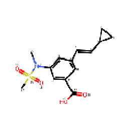 CN(c1cc(C=CC2CC2)cc(C(=O)O)c1)S(C)(=O)=O